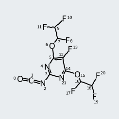 O=C=Nc1nc(OC(F)C(F)F)c(F)c(OC(F)C(F)F)n1